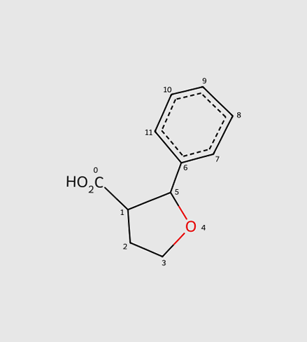 O=C(O)C1CCOC1c1ccccc1